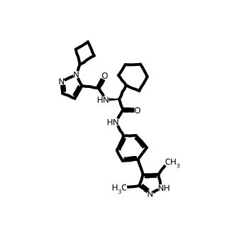 Cc1n[nH]c(C)c1-c1ccc(NC(=O)[C@@H](NC(=O)c2ccnn2C2CCC2)C2CCCCC2)cc1